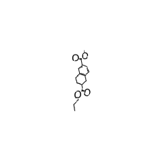 CCCOC(=O)C1CCc2cc(C(=O)OC)ccc2C1